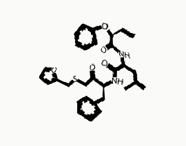 CC[C@H](Oc1ccccc1)C(=O)NC(CC(C)C)C(=O)N[C@@H](Cc1ccccc1)C(=O)CSCc1ccco1